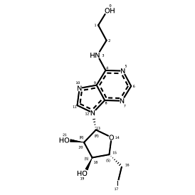 OCCNc1ncnc2c1ncn2[C@@H]1O[C@H](CI)[C@@H](O)[C@H]1O